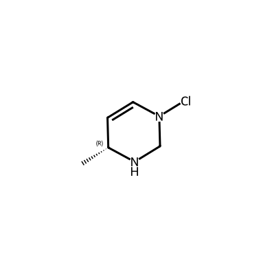 C[C@@H]1C=CN(Cl)CN1